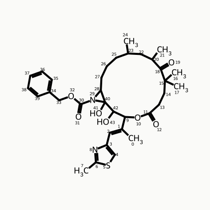 CC(=Cc1csc(C)n1)C1OC(=O)CCC(C)(C)C(=O)C(C)CC(C)CCCC2N(C(=O)OCc3ccccc3)C2(O)C1O